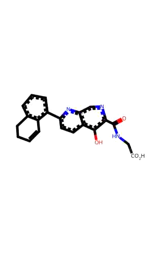 O=C(O)CNC(=O)c1ncc2nc(-c3cccc4c3C=CCC4)ccc2c1O